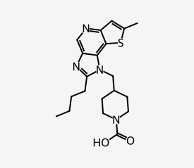 CCCCc1nc2cnc3cc(C)sc3c2n1CC1CCN(C(=O)O)CC1